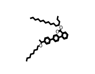 CCCCCCCCCCCC(CCC)OC(=O)c1ccccc1-c1ccc(-c2ccc(C(C)OCCCCCCCC)cc2)cc1